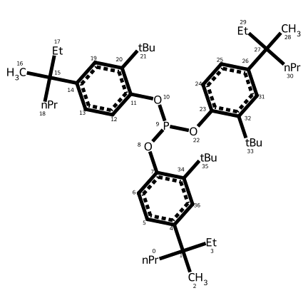 CCCC(C)(CC)c1ccc(OP(Oc2ccc(C(C)(CC)CCC)cc2C(C)(C)C)Oc2ccc(C(C)(CC)CCC)cc2C(C)(C)C)c(C(C)(C)C)c1